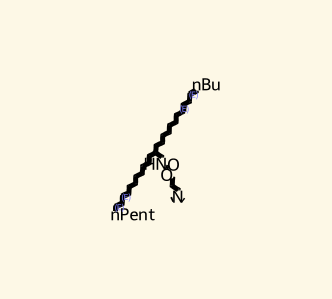 CCCC/C=C/C/C=C/CCCCCCCC(CCCCCCC/C=C/C=C/CCCCC)CNC(=O)OCCCN(C)C